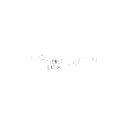 CCc1cccc(CNC(=O)c2nc3scc(COCc4ccc(C(=O)O)cc4)c3c(=O)[nH]2)c1